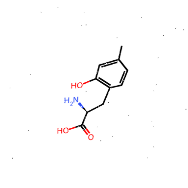 Cc1ccc(C[C@H](N)C(=O)O)c(O)c1